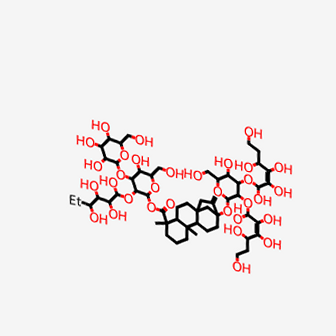 C=C1CC23CCC4C(C)(C(=O)OC5OC(CO)C(O)C(OC6OC(CO)C(O)C(O)C6O)C5OC(O)C(O)C(O)C(O)CC)CCCC4(C)C2CCC1(OC1OC(CO)C(O)C(OC(O)/C(O)=C(/O)C(O)CCO)C1OC(O)/C(O)=C(/O)C(O)CCO)C3